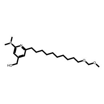 COCOCCCCCCCCCCc1cc(CO)cc(N(C)C)n1